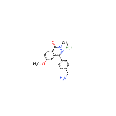 COc1ccc2c(=O)n(C)nc(-c3ccc(CN)cc3)c2c1.Cl